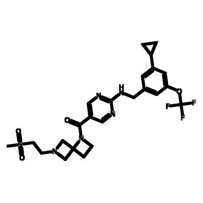 CS(=O)(=O)CCN1CC2(CCN2C(=O)c2cnc(NCc3cc(OC(F)(F)F)cc(C4CC4)c3)nc2)C1